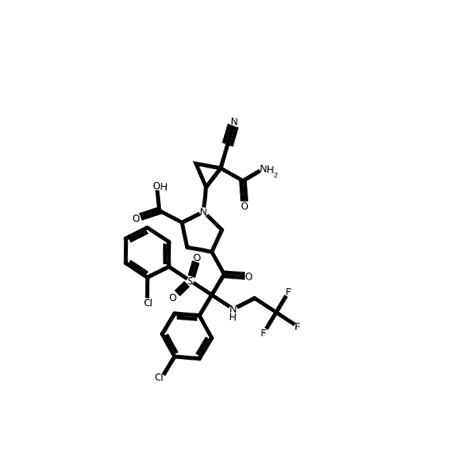 N#CC1(C(N)=O)CC1N1CC(C(=O)C(NCC(F)(F)F)(c2ccc(Cl)cc2)S(=O)(=O)c2ccccc2Cl)CC1C(=O)O